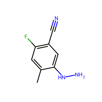 Cc1cc(F)c(C#N)cc1NN